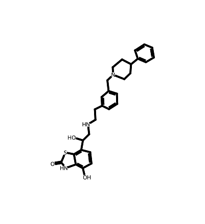 O=c1[nH]c2c(O)ccc(C(O)CNCCc3cccc(CN4CCC(c5ccccc5)CC4)c3)c2s1